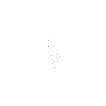 Cc1ccc(-c2c3ccccc3c(-c3ccc4cc(-c5cc(C#N)ccn5)ccc4c3)c3ccccc23)cc1